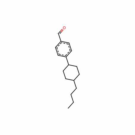 CCCCC1CCC(c2ccc([C]=O)cc2)CC1